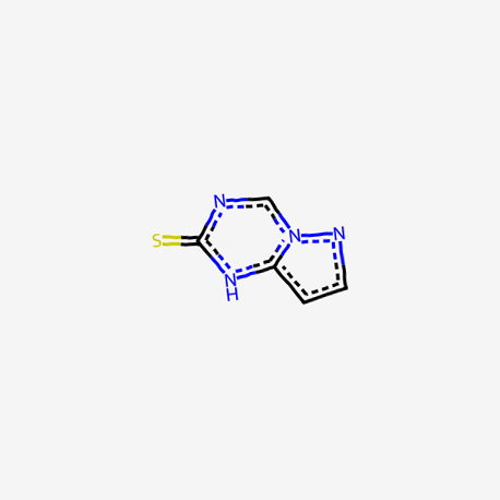 S=c1ncn2nccc2[nH]1